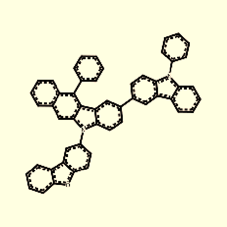 c1ccc(-c2c3ccccc3cc3c2c2cc(-c4ccc5c(c4)c4ccccc4n5-c4ccccc4)ccc2n3-c2ccc3oc4ccccc4c3c2)cc1